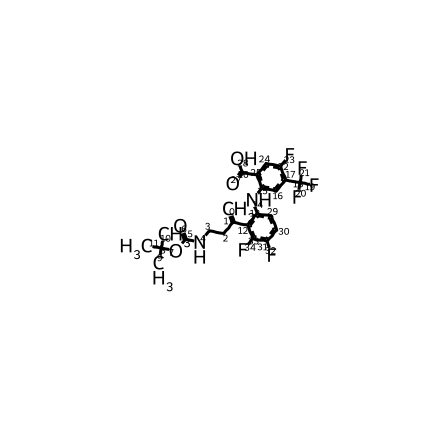 C=C(CCNC(=O)OC(C)(C)C)c1c(Nc2cc(C(F)(F)F)c(F)cc2C(=O)O)ccc(F)c1F